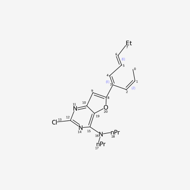 C\C=C/C(=C\C=C\CC)c1cc2nc(Cl)nc(N(CCC)CCC)c2o1